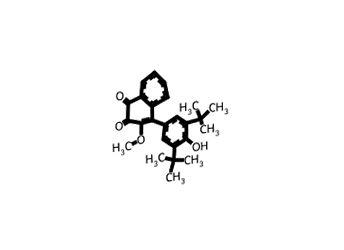 COC1=C(c2cc(C(C)(C)C)c(O)c(C(C)(C)C)c2)c2ccccc2C(=O)C1=O